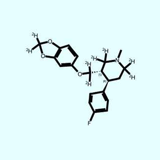 [2H]C1([2H])Oc2ccc(OC([2H])([2H])[C@H]3[C@H](c4ccc(F)cc4)CC([2H])([2H])N(C)C3([2H])[2H])cc2O1